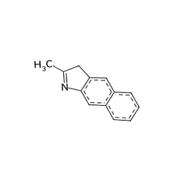 CC1=Nc2cc3ccccc3cc2C1